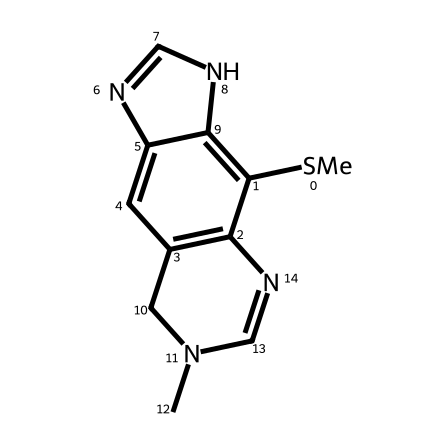 CSc1c2c(cc3nc[nH]c13)CN(C)C=N2